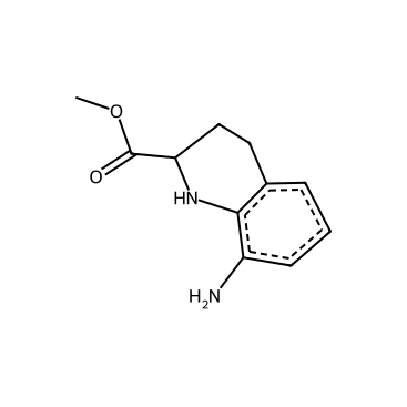 COC(=O)C1CCc2cccc(N)c2N1